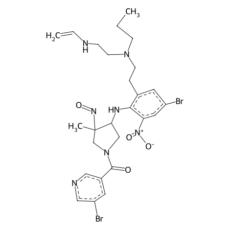 C=CNCCN(CCC)CCc1cc(Br)cc([N+](=O)[O-])c1NC1CN(C(=O)c2cncc(Br)c2)CC1(C)N=O